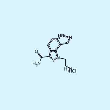 Cl.NCCn1nc(C(N)=O)c2ccc3[nH]ncc3c21